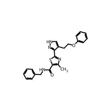 Cc1nc(-c2n[nH]cc2CCOc2ccccc2)sc1C(=O)NCc1ccccc1